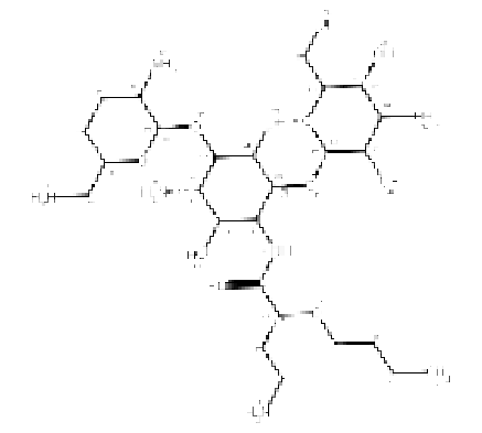 CCCCO[C@@H](CCN)C(=O)NC1C(O)[C@H](N)C(O[C@H]2OC(CN)CCC2N)C(O)[C@H]1O[C@H]1OC(CO)[C@@H](O)C(N)C1O